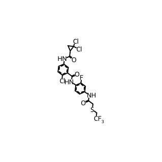 O=C(CSCC(F)(F)F)Nc1ccc(NC(=O)c2cc(NC(=O)C3CC3(Cl)Cl)ccc2Cl)c(F)c1